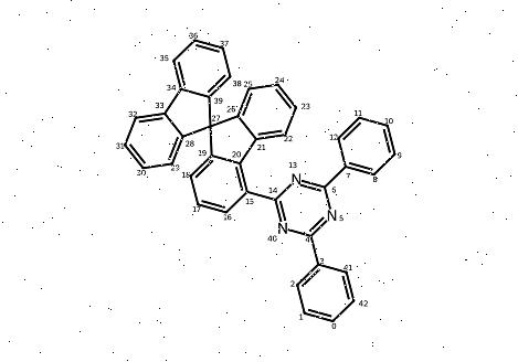 c1ccc(-c2nc(-c3ccccc3)nc(-c3cccc4c3-c3ccccc3C43c4ccccc4-c4ccccc43)n2)cc1